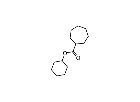 O=C(OC1CCCCC1)C1CCCCCC1